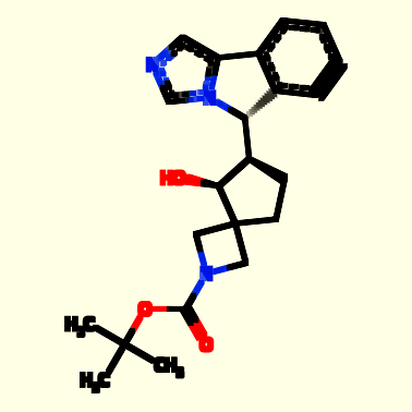 CC(C)(C)OC(=O)N1CC2(CC[C@H]([C@H]3c4c#cccc4-c4cncn43)[C@@H]2O)C1